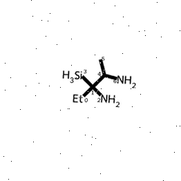 CCC(N)([SiH3])C(C)N